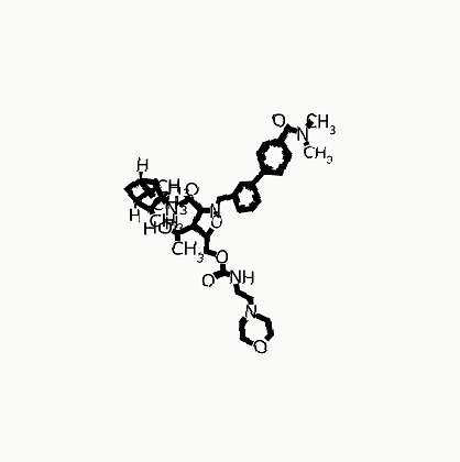 CC(O)C1C(COC(=O)NCCN2CCOCC2)ON(Cc2cccc(-c3ccc(C(=O)N(C)C)cc3)c2)C1C(=O)N[C@H]1C[C@H]2C[C@@H](C1C)C2(C)C